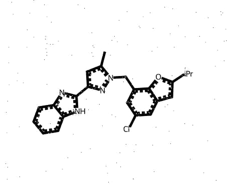 Cc1cc(-c2nc3ccccc3[nH]2)nn1Cc1cc(Cl)cc2cc(C(C)C)oc12